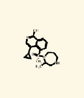 CC1CNCCCN1[SH](C)(=O)c1cccc2c(O)ncc(C3CC3)c12